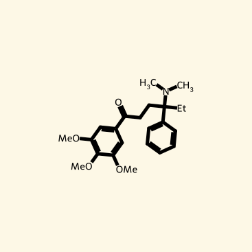 CCC(CCC(=O)c1cc(OC)c(OC)c(OC)c1)(c1ccccc1)N(C)C